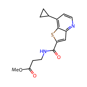 COC(=O)CCNC(=O)c1cc2nccc(C3CC3)c2s1